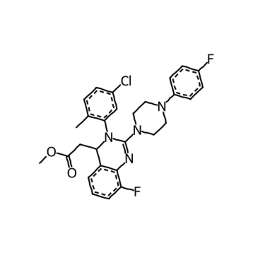 COC(=O)CC1c2cccc(F)c2N=C(N2CCN(c3ccc(F)cc3)CC2)N1c1cc(Cl)ccc1C